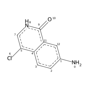 Nc1ccc2c(Cl)c[nH]c(=O)c2c1